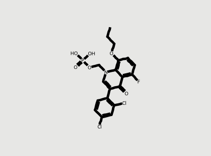 CCCOc1ccc(F)c2c(=O)c(-c3ccc(Cl)cc3Cl)cn(COP(=O)(O)O)c12